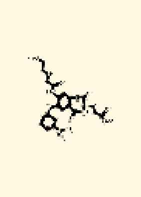 CCCCCCCCCCCCNCC(=O)Nc1cc2c(cc1Oc1cccc(N(C)C)c1)C(=O)N[C@H](CCC(=O)OC)C(=O)N2